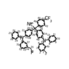 Cc1cccc(N(c2ccccc2)c2ccc(C(C#N)(c3ccc(N(c4ccccc4)c4cccc(CF)c4)cc3)c3ccc(C(F)(F)F)cc3)cc2)c1